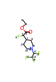 CCOC(=O)C(F)C1CCN(C(F)C(F)F)CC1